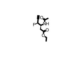 C#C[C@H](F)[C@H](CC(=O)OCC)NC(C)=O